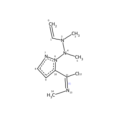 C=CN(C)N(C)n1nccc1/C(Cl)=N\C